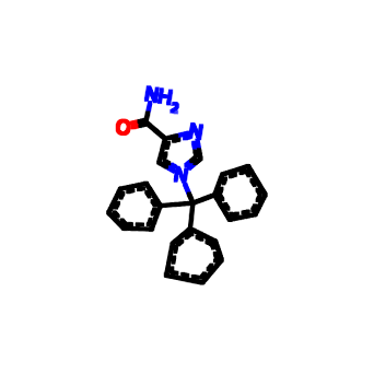 NC(=O)c1cn(C(c2ccccc2)(c2ccccc2)c2ccccc2)cn1